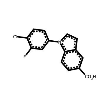 O=C(O)c1ccc2c(ccn2-c2ccc(Cl)c(F)c2)c1